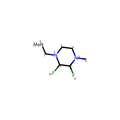 CNCN1CCN(C)C(F)C1F